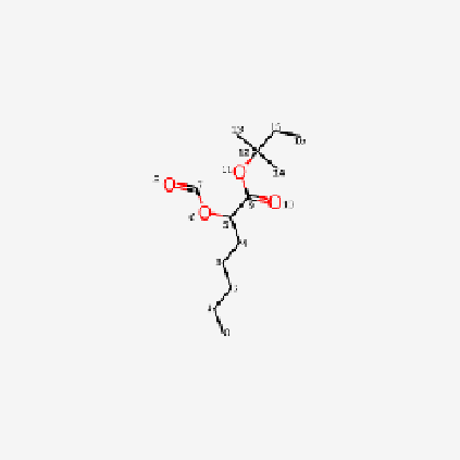 CCCCCC(O[C]=O)C(=O)OC(C)(C)CC